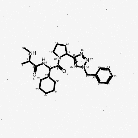 CNC(C)C(=O)NC(C(=O)N1CCCC1c1nnn(Cc2ccccc2)n1)C1CCCCC1